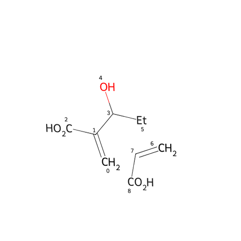 C=C(C(=O)O)C(O)CC.C=CC(=O)O